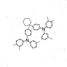 Cc1cccc(N(c2ccc(C3(c4ccc(N(c5cccc(C)c5)c5ccc(C)c(C)c5)cc4)CCCCC3)cc2)c2ccc(C)c(C)c2)c1